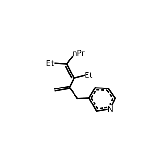 C=C(Cc1cccnc1)/C(CC)=C(\CC)CCC